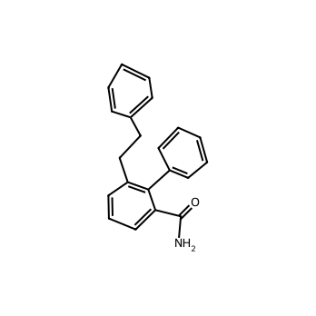 NC(=O)c1cccc(CCc2ccccc2)c1-c1ccccc1